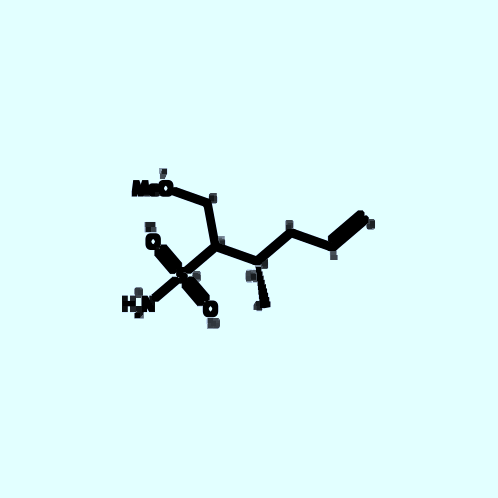 C=CC[C@H](C)C(COC)S(N)(=O)=O